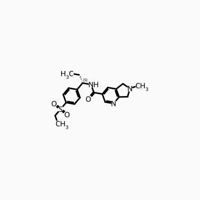 CC[C@H](NC(=O)c1cnc2c(c1)CN(C)C2)c1ccc(S(=O)(=O)CC)cc1